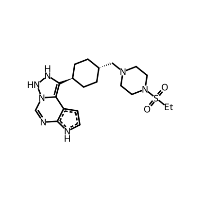 CCS(=O)(=O)N1CCN(C[C@H]2CC[C@H](C3=C4c5cc[nH]c5N=CN4NN3)CC2)CC1